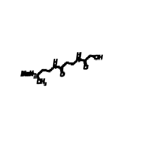 CN[C@@H](C)CCNC(=O)CCNC(=O)CO